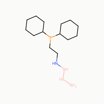 BBBNCCP(C1CCCCC1)C1CCCCC1